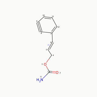 NC(=O)OC/C=C/c1c#cccc1